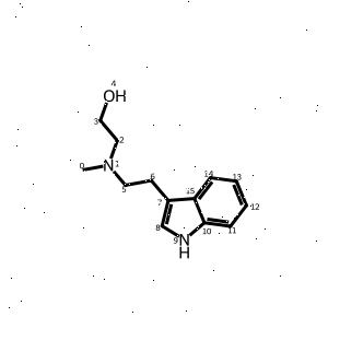 CN(CCO)CCc1c[nH]c2ccccc12